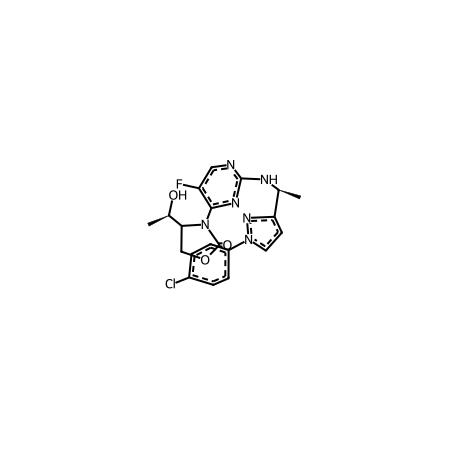 C[C@H](Nc1ncc(F)c(N2C(=O)OCC2[C@@H](C)O)n1)c1ccn(-c2ccc(Cl)cc2)n1